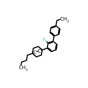 CCCCC12CCC(c3cccc(-c4ccc(CC)cc4)c3F)(CC1)CC2